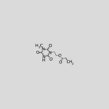 C=CC(=O)OCCn1c(=O)[nH]c(=O)n(C)c1=O